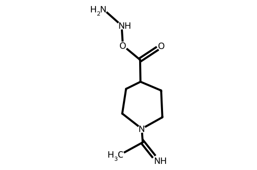 CC(=N)N1CCC(C(=O)ONN)CC1